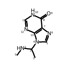 CNC(C)n1cnc2c(=O)[nH]cnc21